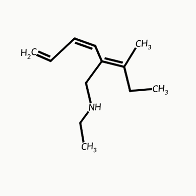 C=C/C=C\C(CNCC)=C(/C)CC